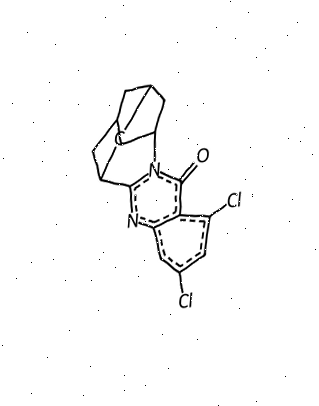 O=c1c2c(Cl)cc(Cl)cc2nc2n1C1CC3CC(CC2C3)C1